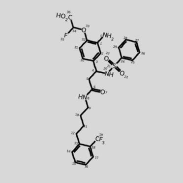 Nc1cc(C(CC(=O)NCCCCc2ccccc2C(F)(F)F)NS(=O)(=O)c2ccccc2)ccc1OC(F)C(=O)O